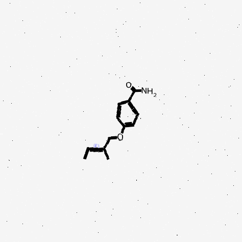 C/C=C(\C)COc1ccc(C(N)=O)cc1